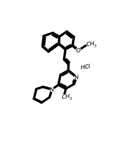 COc1ccc2ccccc2c1C=Cc1cc(N2CCCCC2)c(C)cn1.Cl